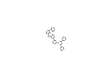 CC1(C)c2cc(-c3cccc(-c4nc(-c5ccccc5)cc(-c5ccccc5)n4)c3)ccc2-n2c3ccccc3c3cccc1c32